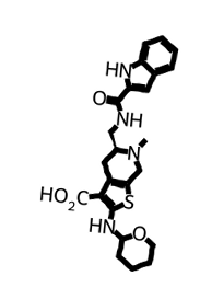 CN1Cc2sc(NC3CCCCO3)c(C(=O)O)c2C[C@H]1CNC(=O)c1cc2ccccc2[nH]1